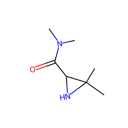 CN(C)C(=O)C1NC1(C)C